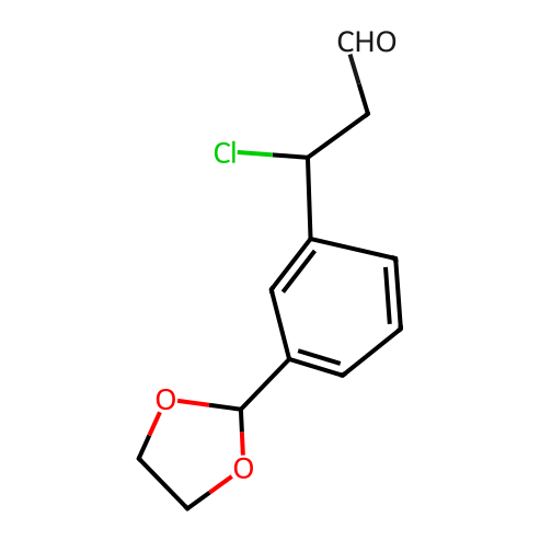 O=CCC(Cl)c1cccc(C2OCCO2)c1